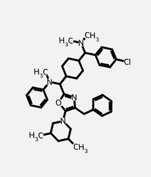 CC1CC(C)CN(c2oc(C(C3CCC(C(c4ccc(Cl)cc4)N(C)C)CC3)N(C)c3ccccc3)nc2Cc2ccccc2)C1